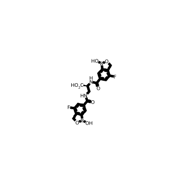 O=C(NC[C@H](NC(=O)c1cc(F)c2c(c1)B(O)OC2)C(=O)O)c1cc(F)c2c(c1)B(O)OC2